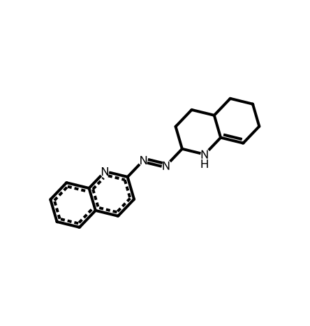 C1=C2NC(N=Nc3ccc4ccccc4n3)CCC2CCC1